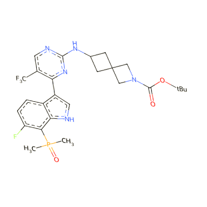 CC(C)(C)OC(=O)N1CC2(CC(Nc3ncc(C(F)(F)F)c(-c4c[nH]c5c(P(C)(C)=O)c(F)ccc45)n3)C2)C1